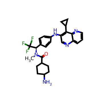 CN(C(=O)C1CCC(N)CC1)[C@H](c1ccc(Nc2cnc3cccnc3c2C2CC2)cc1)C(F)(F)F